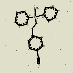 C[Si](CCc1ccc(C#N)cc1)(c1ccccc1)c1ccccc1